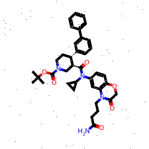 CC(C)(C)OC(=O)N1CC[C@H](c2cccc(-c3ccccc3)c2)[C@@H](C(=O)N(c2ccc3c(c2)N(CCCC(N)=O)C(=O)CO3)C2CC2)C1